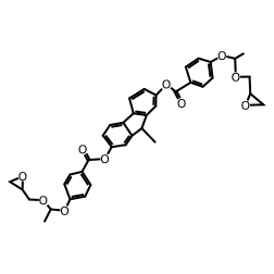 CC(OCC1CO1)Oc1ccc(C(=O)Oc2ccc3c(c2)C(C)c2cc(OC(=O)c4ccc(OC(C)OCC5CO5)cc4)ccc2-3)cc1